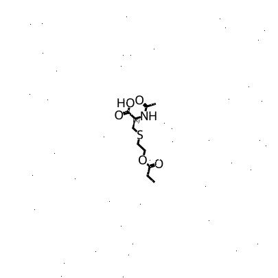 CCC(=O)OCCSC[C@H](NC(C)=O)C(=O)O